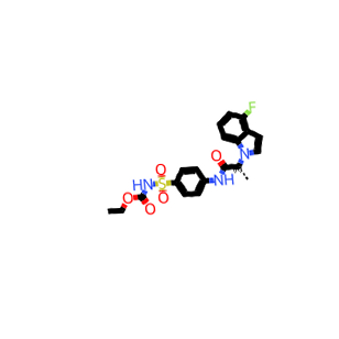 CCOC(=O)NS(=O)(=O)c1ccc(NC(=O)[C@@H](C)n2ccc3c(F)cccc32)cc1